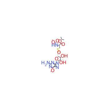 COC(=O)NC(CSOC[C@H]1O[C@@H](n2cnc3c(OC)nc(N)nc32)[C@](C)(O)[C@@H]1O)C(=O)OC(C)C